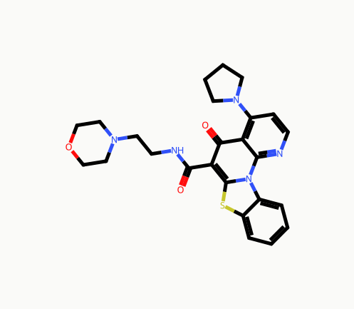 O=C(NCCN1CCOCC1)c1c(=O)c2c(N3CCCC3)ccnc2n2c1sc1ccccc12